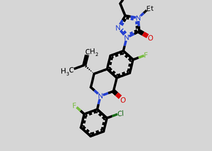 C=C(C)[C@H]1CN(c2c(F)cccc2Cl)C(=O)c2cc(F)c(-n3nc(CO)n(CC)c3=O)cc21